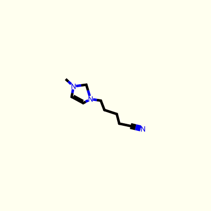 CN1C=CN(CCCCC#N)C1